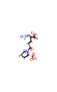 C[C@@H]1C[C@@H](C(=O)O)N(C(=O)CC[C@H](N)C(=O)O)C1